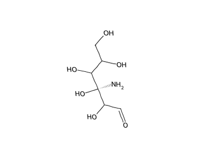 N[C@@](O)(C(O)C=O)C(O)C(O)CO